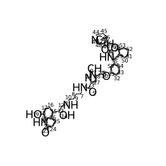 Cn1nc(C(=O)NCCCCNC[C@H](O)c2ccc(O)c3[nH]c(=O)ccc23)cc1COc1cccc([C@@H](NC(=O)O[C@H]2CN3CCC2CC3)c2ccccc2)c1